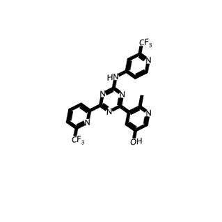 Cc1ncc(O)cc1-c1nc(Nc2ccnc(C(F)(F)F)c2)nc(-c2cccc(C(F)(F)F)n2)n1